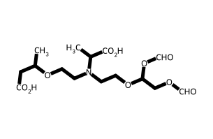 CC(CC(=O)O)OCCN(CCOC(COC=O)OC=O)C(C)C(=O)O